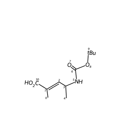 CC(=CC(C)NC(=O)OC(C)(C)C)C(=O)O